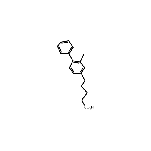 Cc1cc(CCCCC(=O)O)ccc1-c1ccccc1